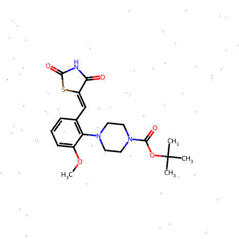 COc1cccc(/C=C2\SC(=O)NC2=O)c1N1CCN(C(=O)OC(C)(C)C)CC1